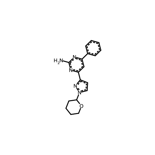 Nc1nc(-c2ccccc2)cc(-c2ccn(C3CCCCO3)n2)n1